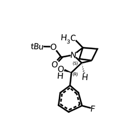 CC(C)(C)OC(=O)N1[C@H]([C@H](O)c2cccc(F)c2)C2CC1(C)C2